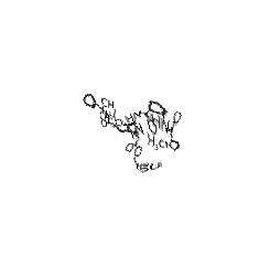 Cn1cccc1C(=O)Nc1ccccc1C(=O)Nc1nn(C(=O)OCC(C)(C)C)c2cc(C(=O)NC(C)(C)c3ccccc3)oc12